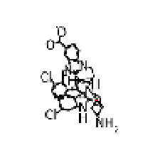 COC(=O)c1ccc2c(c1)nc1n2CC[C@H]2[C@@H]1[C@H](c1cccc(Cl)c1F)[C@]1(C(=O)Nc3cc(Cl)ccc31)N2CC12CC(N)(C1)C2